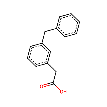 O=C(O)Cc1cccc(Cc2ccccc2)c1